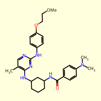 COCCOc1ccc(Nc2ncc(C)c(NC3CCCC(NC(=O)c4ccc(N(C)C)cc4)C3)n2)cc1